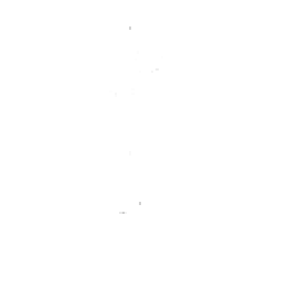 CN(CC1CCN(CCNC(=O)CCC(F)(F)F)CC1)C(=O)c1cc(F)cc(C(F)(F)F)c1